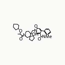 CNC(=O)c1cn(CC2(O)CCN(C(=O)C(C)OC3CCCCC3)CC23CCCC3)c(=O)cc1-c1ccccc1